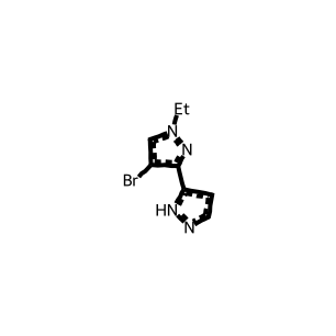 CCn1cc(Br)c(-c2ccn[nH]2)n1